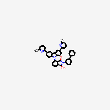 N#Cc1cccc(-c2ccc3c(c2)c2cc(-c4cccc(C#N)n4)ccc2n3-c2cccc3c2C(=O)N(c2cccc(-c4ccccc4)c2)C3O)n1